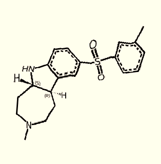 Cc1cccc(S(=O)(=O)c2ccc3c(c2)[C@H]2CCN(C)CC[C@@H]2N3)c1